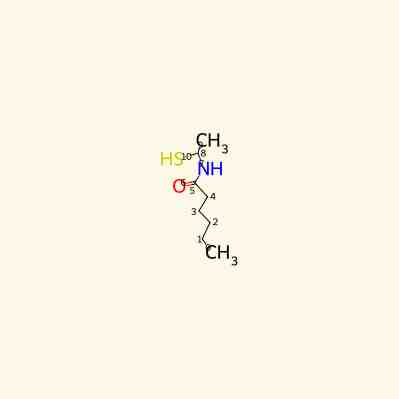 CCCCCC(=O)NC(C)S